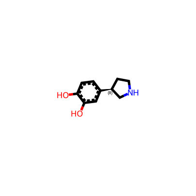 Oc1ccc([C@H]2CCNC2)cc1O